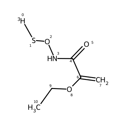 [3H]SONC(=O)C(=C)OCC